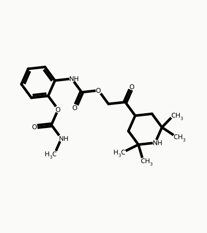 CNC(=O)Oc1ccccc1NC(=O)OCC(=O)C1CC(C)(C)NC(C)(C)C1